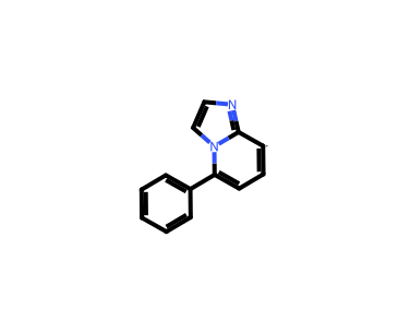 [c]1ccc(-c2ccccc2)n2ccnc12